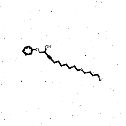 OC(C#CCCCCCCCCCCCCBr)COc1ccccc1